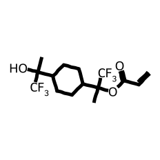 C=CC(=O)OC(C)(C1CCC(C(C)(O)C(F)(F)F)CC1)C(F)(F)F